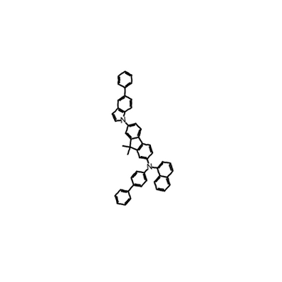 CC1(C)c2cc(N(c3ccc(-c4ccccc4)cc3)c3cccc4ccccc34)ccc2-c2ccc(-n3ccc4cc(-c5ccccc5)ccc43)cc21